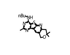 CCCCNc1nc(C)nc2c1sc1nc3c(cc12)COC(C)(C)C3